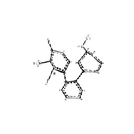 Nc1c(F)ccc(-c2ccccc2-c2cccc(OC(F)(F)F)c2)c1F